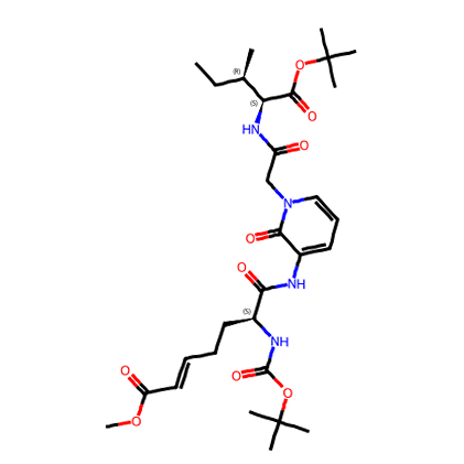 CC[C@@H](C)[C@H](NC(=O)Cn1cccc(NC(=O)[C@H](CCC=CC(=O)OC)NC(=O)OC(C)(C)C)c1=O)C(=O)OC(C)(C)C